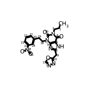 CCCn1c(=O)c2[nH]c(Cc3nnco3)nc2n(CCc2cccc([N+](=O)[O-])c2)c1=O